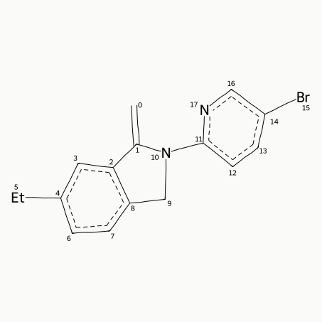 C=C1c2cc(CC)ccc2CN1c1ccc(Br)cn1